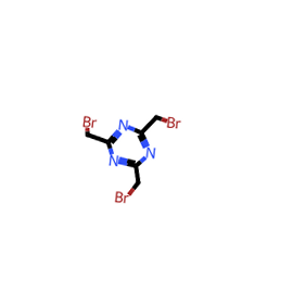 BrCc1nc(CBr)nc(CBr)n1